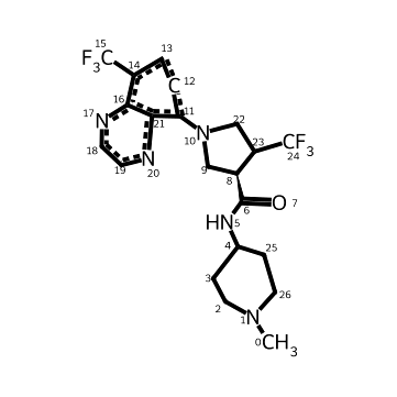 CN1CCC(NC(=O)[C@H]2CN(c3ccc(C(F)(F)F)c4nccnc34)CC2C(F)(F)F)CC1